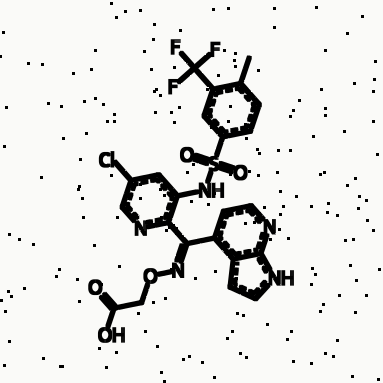 Cc1ccc(S(=O)(=O)Nc2cc(Cl)cnc2C(=NOCC(=O)O)c2ccnc3[nH]ccc23)cc1C(F)(F)F